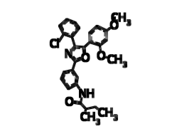 CCC(C)C(=O)Nc1cccc(-c2nc(-c3ccccc3Cl)c(-c3ccc(OC)cc3OC)o2)c1